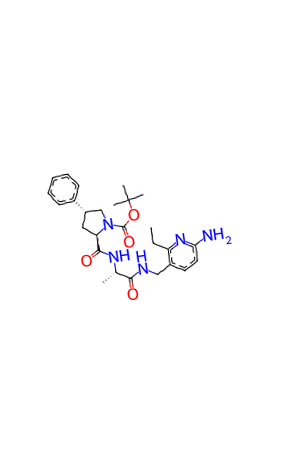 CCc1nc(N)ccc1CNC(=O)[C@H](C)NC(=O)[C@H]1C[C@H](c2ccccc2)CN1C(=O)OC(C)(C)C